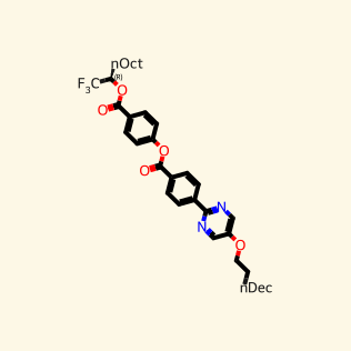 CCCCCCCCCCCCOc1cnc(-c2ccc(C(=O)Oc3ccc(C(=O)O[C@H](CCCCCCCC)C(F)(F)F)cc3)cc2)nc1